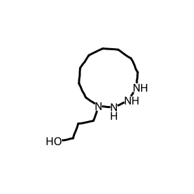 OCCCN1CCCCCCCCNNN1